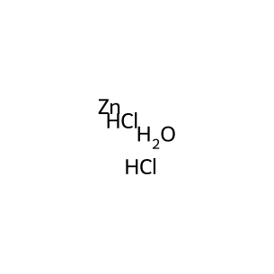 Cl.Cl.O.[Zn]